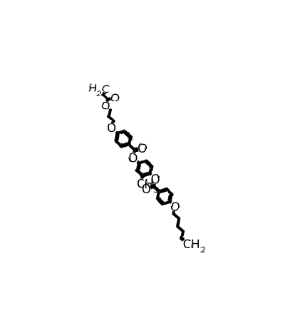 C=CCCCCOc1ccc(C(=O)Oc2ccc(OC(=O)c3ccc(OCCCOC(=O)C=C)cc3)cc2C)cc1